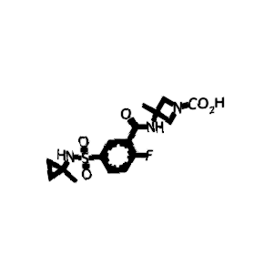 CC1(NC(=O)c2cc(S(=O)(=O)NC3(C)CC3)ccc2F)CN(C(=O)O)C1